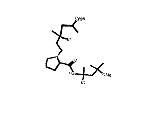 CCC(C)(CCN1CCCC1C(=O)NC(C)(CC)CC(C)(C)OC)CC(C)OC